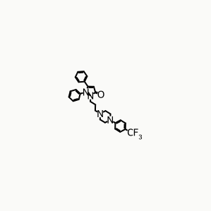 O=c1cc(-c2ccccc2)n(-c2ccccc2)n1CCCN1CCN(c2ccc(C(F)(F)F)cc2)CC1